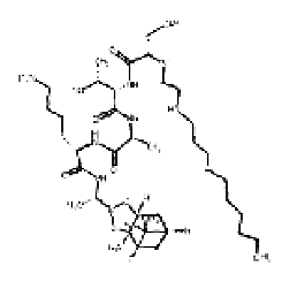 CCCCCCCCCCNCCN[C@@H](CO)C(=O)N[C@H](C(=O)N[C@@H](C)C(=O)N[C@@H](CCCCN)C(=O)N[C@@H](C)B1O[C@@H]2C[C@@H]3C[C@@H](C3(C)C)[C@]2(C)O1)[C@@H](C)O